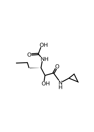 CCC[C@H](NC(=O)O)C(O)C(=O)NC1CC1